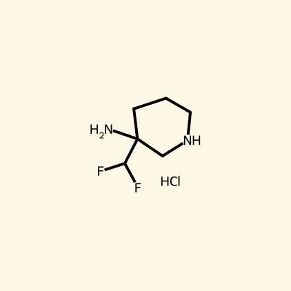 Cl.NC1(C(F)F)CCCNC1